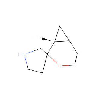 C1CC2(CN1)OCCC1C[C@H]12